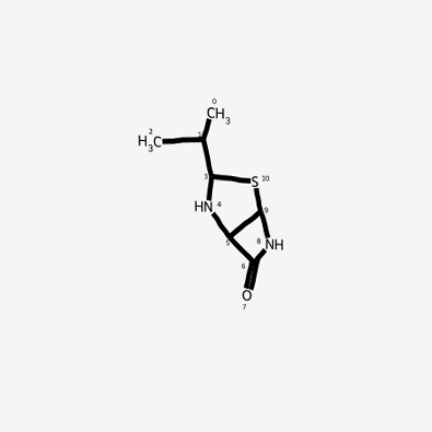 CC(C)C1NC2C(=O)NC2S1